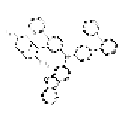 CC1CC2CC(C)C(c3cc(N(c4ccc(-c5ccccc5-c5ccccc5)cc4)c4ccc5c(c4)oc4ccccc45)ccc3-c3ccccc3)C(C1)C2